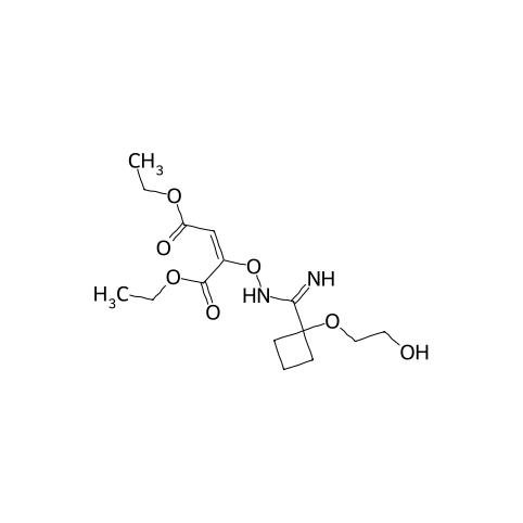 CCOC(=O)C=C(ONC(=N)C1(OCCO)CCC1)C(=O)OCC